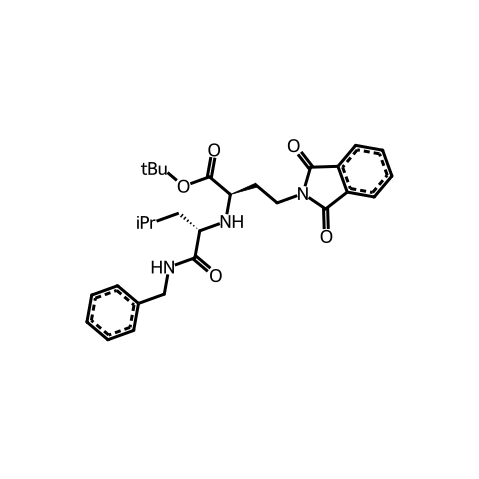 CC(C)C[C@H](N[C@H](CCN1C(=O)c2ccccc2C1=O)C(=O)OC(C)(C)C)C(=O)NCc1ccccc1